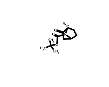 CC(C)(C)OC(=O)N1C2CC[C@@H]1C(=O)C2